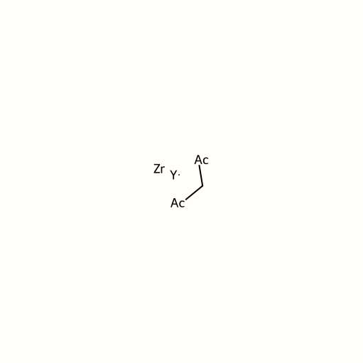 CC(=O)CC(C)=O.[Y].[Zr]